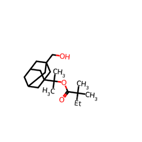 CCC(C)(C)C(=O)OC(C)(C)C12CC3CC(CC(CO)(C3)C1)C2